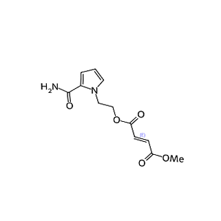 COC(=O)/C=C/C(=O)OCCn1cccc1C(N)=O